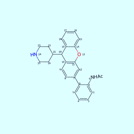 CC(=O)Nc1ccccc1-c1ccc2c(c1)Oc1ccccc1C2C1CCNCC1